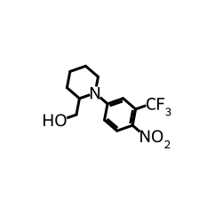 O=[N+]([O-])c1ccc(N2CCCCC2CO)cc1C(F)(F)F